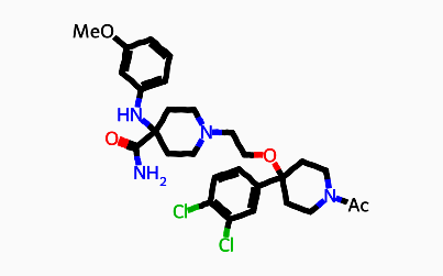 COc1cccc(NC2(C(N)=O)CCN(CCOC3(c4ccc(Cl)c(Cl)c4)CCN(C(C)=O)CC3)CC2)c1